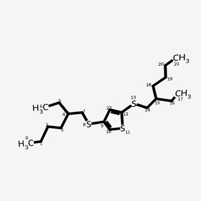 CCCCC(CC)CSc1csc(SCC(CC)CCCC)c1